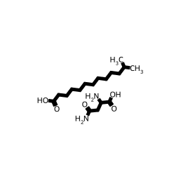 CC(C)CCCCCCCCCCC(=O)O.NC(=O)CC(N)C(=O)O